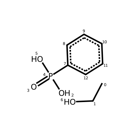 CCO.O=P(O)(O)c1ccccc1